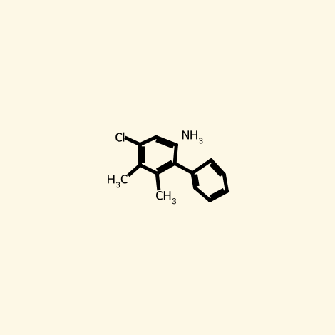 Cc1c(Cl)ccc(-c2ccccc2)c1C.N